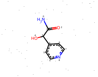 NC(=O)C(O)c1ccncc1